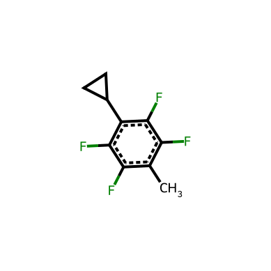 Cc1c(F)c(F)c(C2CC2)c(F)c1F